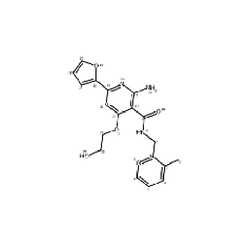 Cc1cccnc1CNC(=O)c1c(N)nc(-c2ccco2)nc1OCCO